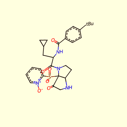 CC(C)(C)c1ccc(C(=O)NC(CC2CC2)C(=O)N2CCC3NCC(=O)C32S(=O)(=O)c2cccc[n+]2[O-])cc1